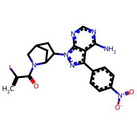 C=C(I)C(=O)N1CC2CC1C(n1nc(-c3ccc([N+](=O)[O-])cc3)c3c(N)ncnc31)C2